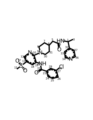 CC(NC(=O)CC1CCN(c2ncc(S(C)(=O)=O)cc2NC(=O)c2cccc(Cl)c2)CC1)c1ccncc1